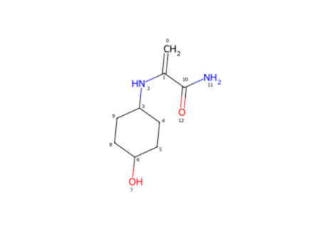 C=C(NC1CCC(O)CC1)C(N)=O